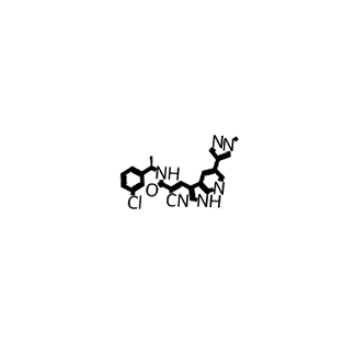 C[C@@H](NC(=O)/C(C#N)=C/c1c[nH]c2ncc(-c3cnn(C)c3)cc12)c1cccc(Cl)c1